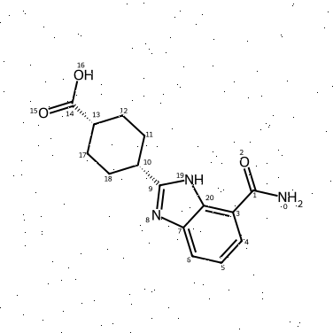 NC(=O)c1cccc2nc([C@H]3CC[C@@H](C(=O)O)CC3)[nH]c12